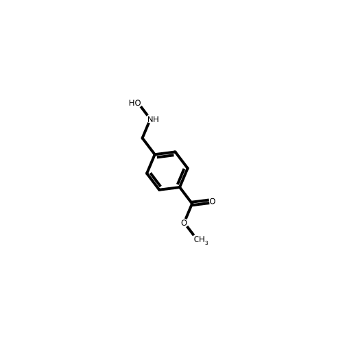 COC(=O)c1ccc(CNO)cc1